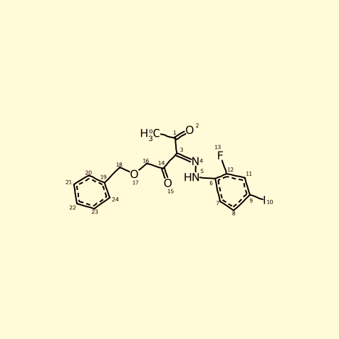 CC(=O)C(=NNc1ccc(I)cc1F)C(=O)COCc1ccccc1